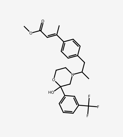 COC(=O)C=C(C)c1ccc(CC(C)N2CCOC(O)(c3cccc(C(F)(F)F)c3)C2)cc1